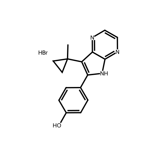 Br.CC1(c2c(-c3ccc(O)cc3)[nH]c3nccnc23)CC1